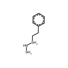 [SiH3]N[SiH2]CCc1ccccc1